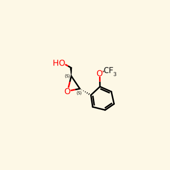 OC[C@@H]1O[C@H]1c1ccccc1OC(F)(F)F